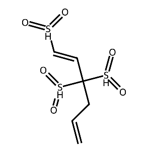 C=CCC(C=C[SH](=O)=O)([SH](=O)=O)[SH](=O)=O